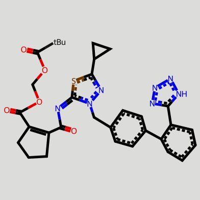 CC(C)(C)C(=O)OCOC(=O)C1=C(C(=O)N=c2sc(C3CC3)nn2Cc2ccc(-c3ccccc3-c3nnn[nH]3)cc2)CCC1